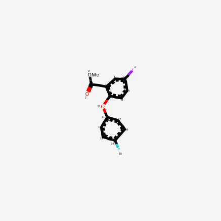 COC(=O)c1cc(I)ccc1Oc1ccc(F)cc1